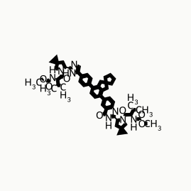 COC(=O)N[C@H](C(=O)N1CC2(CC2)C[C@H]1c1ncc(-c2ccc(-c3ccc(-c4ccc5nc([C@@H]6CC7(CC7)CN6C(=O)[C@@H](NC(=O)OC)C(C)C)[nH]c(=O)c5c4)c4c3CC3(CCCC3)C4)cc2)[nH]1)C(C)C